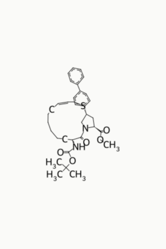 COC(=O)[C@@H]1C[C@@]2(c3ccc(-c4ccccc4)cc3)CN1C(=O)[C@@H](NC(=O)OC(C)(C)C)CCCCCC/C=C/CS2